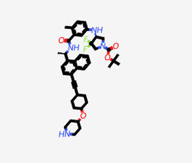 Cc1ccc(N[C@H]2CN(C(=O)OC(C)(C)C)CC2(F)F)cc1C(=O)N[C@H](C)c1ccc(C#CC2CCC(OC3CCNCC3)CC2)c2ccccc12